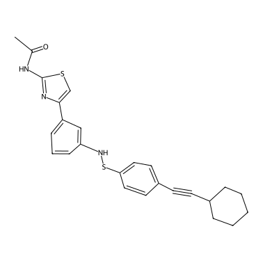 CC(=O)Nc1nc(-c2cccc(NSc3ccc(C#CC4CCCCC4)cc3)c2)cs1